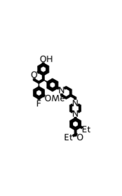 CCC(=O)c1ccc(N2CCN(CC3CCN(c4ccc([C@@H]5c6ccc(O)cc6OC[C@@H]5c5ccc(F)c(OC)c5)cc4)CC3)CC2)cc1CC